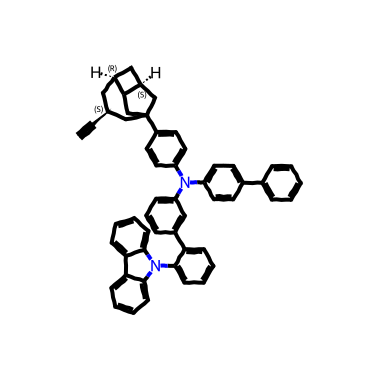 C#C[C@H]1C[C@H]2C[C@H]3CC(c4ccc(N(c5ccc(-c6ccccc6)cc5)c5cccc(-c6ccccc6-n6c7ccccc7c7ccccc76)c5)cc4)(CC23)C1